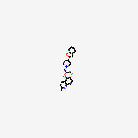 Cc1ccc2c3c(ccc2n1)OCC(CN1CC=C(c2cc4ccccc4o2)CC1)O3